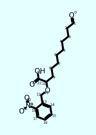 O=CCCCCCCCCC(OCc1ccccc1[N+](=O)[O-])C(=O)O